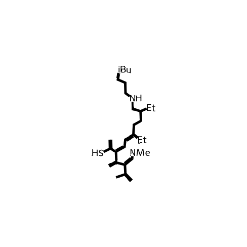 C=C(C)/C(=C/NC)C(=C)/C(=C/C=C(\CC)CCC(CC)CNCCCC(C)CC)C(=C)S